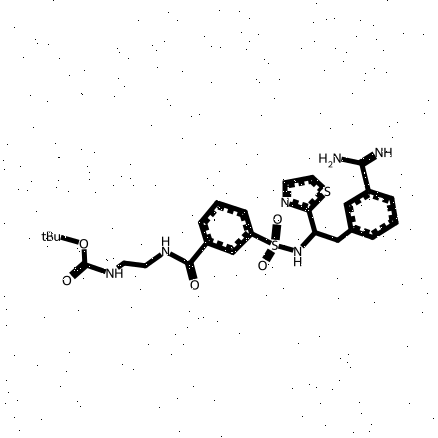 CC(C)(C)OC(=O)NCCNC(=O)c1cccc(S(=O)(=O)NC(Cc2cccc(C(=N)N)c2)c2nccs2)c1